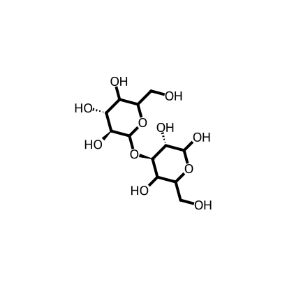 OCC1OC(O[C@@H]2C(O)C(CO)OC(O)[C@H]2O)[C@@H](O)[C@H](O)C1O